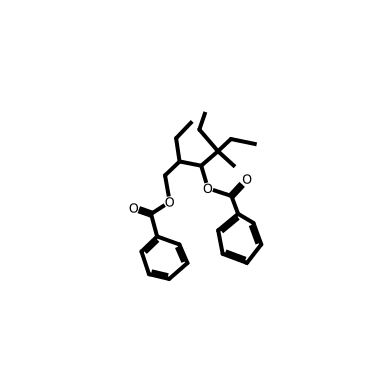 CCC(COC(=O)c1ccccc1)C(OC(=O)c1ccccc1)C(C)(CC)CC